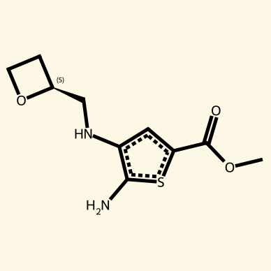 COC(=O)c1cc(NC[C@@H]2CCO2)c(N)s1